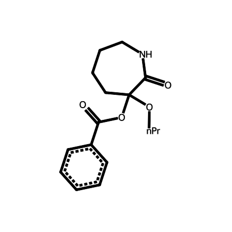 CCCOC1(OC(=O)c2ccccc2)CCCCNC1=O